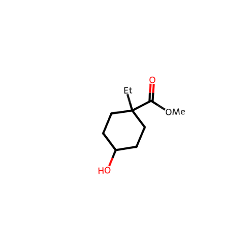 CCC1(C(=O)OC)CCC(O)CC1